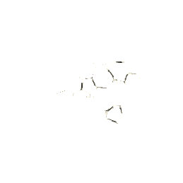 CC(C)c1nc(CCCO)n(Cc2ccncc2)c1Sc1cccc(Cl)c1